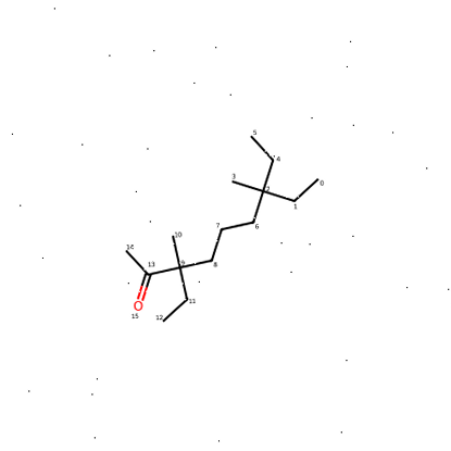 CCC(C)(CC)CCCC(C)(CC)C(C)=O